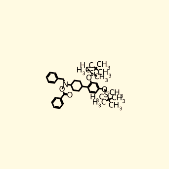 CC(C)(C)[Si](C)(C)Oc1ccc(C2CCC(N(Cc3ccccc3)OC(=O)c3ccccc3)CC2)c(O[Si](C)(C)C(C)(C)C)c1